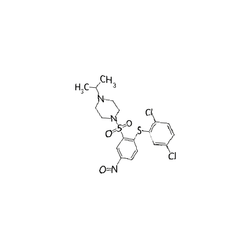 CC(C)N1CCN(S(=O)(=O)c2cc(N=O)ccc2Sc2cc(Cl)ccc2Cl)CC1